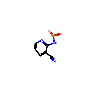 N#Cc1cccnc1N[SH](=O)=O